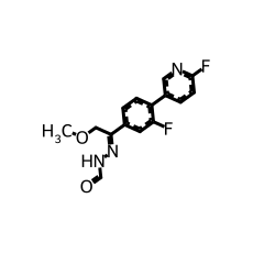 COC/C(=N\NC=O)c1ccc(-c2ccc(F)nc2)c(F)c1